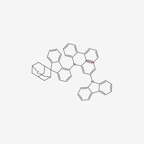 c1ccc(-c2ccccc2N(c2cccc(-n3c4ccccc4c4ccccc43)c2)c2cccc3c2-c2ccccc2C32C3CCC4CC(C3)CC2C4)cc1